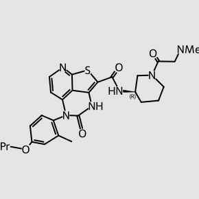 CNCC(=O)N1CCC[C@@H](NC(=O)c2sc3nccc4c3c2NC(=O)N4c2ccc(OC(C)C)cc2C)C1